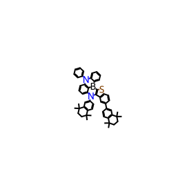 CC1(C)CCC(C)(C)c2cc(-c3ccc4sc5c(c4c3)N(c3ccc4c(c3)C(C)(C)CCC4(C)C)c3cccc4c3B5c3ccccc3N4c3ccccc3)ccc21